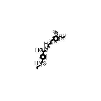 CCCNC(=O)c1ccc(C(O)CNCCCCc2ccc(CCC)c(OC)c2)cc1